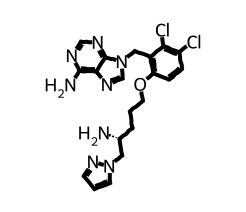 Nc1ncnc2c1ncn2Cc1c(OCCC[C@@H](N)Cn2cccn2)ccc(Cl)c1Cl